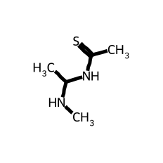 CNC(C)NC(C)=S